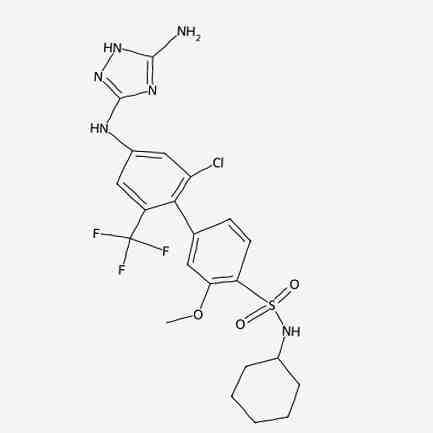 COc1cc(-c2c(Cl)cc(Nc3n[nH]c(N)n3)cc2C(F)(F)F)ccc1S(=O)(=O)NC1CCCCC1